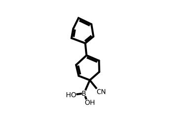 N#CC1(B(O)O)C=CC(c2ccccc2)=CC1